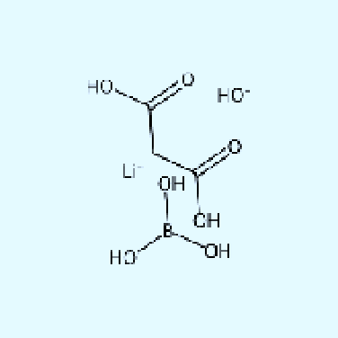 O=C(O)CC(=O)O.OB(O)O.[Li+].[OH-]